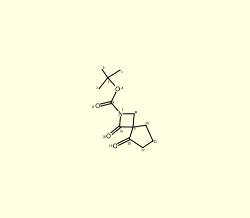 CC(C)(C)OC(=O)N1CC2(CCCC2=O)C1=O